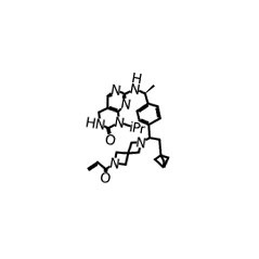 C=CC(=O)N1CC2(C1)CN(C(CC13CC(C1)C3)c1ccc([C@H](C)Nc3ncc4c(n3)N(C(C)C)C(=O)NC4)cc1)C2